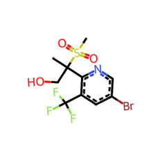 CC(CO)(c1ncc(Br)cc1C(F)(F)F)S(C)(=O)=O